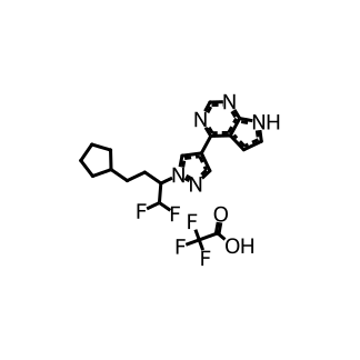 FC(F)C(CCC1CCCC1)n1cc(-c2ncnc3[nH]ccc23)cn1.O=C(O)C(F)(F)F